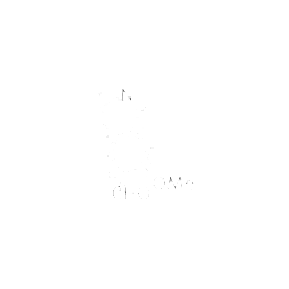 COc1cc2cnccc2cc1C=O